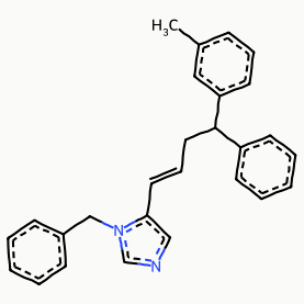 Cc1cccc(C(C/C=C/c2cncn2Cc2ccccc2)c2ccccc2)c1